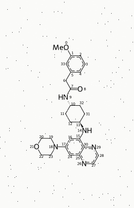 COc1cccc(CC(=O)N[C@H]2CC[C@H](Nc3cc(N4CCOCC4)cc4nccnc34)CC2)c1